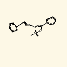 C[Si](C)(C)O/C(=C\OC/C=C/c1ccccc1)c1ccccc1